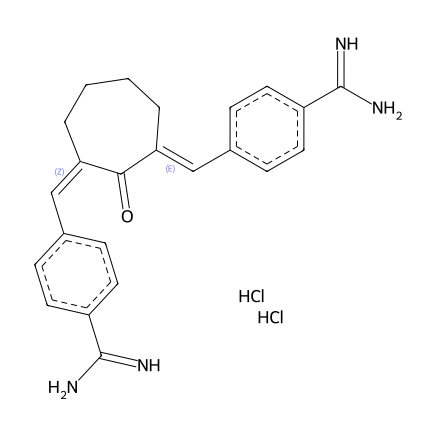 Cl.Cl.N=C(N)c1ccc(/C=C2/CCCC/C(=C\c3ccc(C(=N)N)cc3)C2=O)cc1